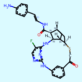 Nc1ccc(/C=C/NC(=O)[C@H]2[C@H]3C[C@H]4[C@H]2Nc2nc(ncc2F)Nc2cccc(c2)C(=O)CS[C@@H]4C3)cc1